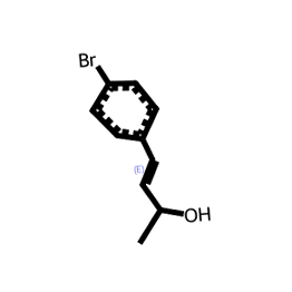 CC(O)/C=C/c1ccc(Br)cc1